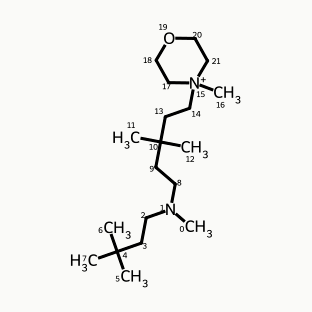 CN(CCC(C)(C)C)CCC(C)(C)CC[N+]1(C)CCOCC1